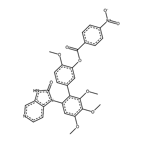 COc1ccc(-c2c(-n3c(=O)[nH]c4cnccc43)cc(OC)c(OC)c2OC)cc1OC(=O)c1ccc([N+](=O)[O-])cc1